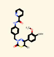 CCC1SC(=O)N(Cc2ccc(NC(=O)c3ccccn3)cc2)N=C1c1ccc(OC)c(OC(F)(F)F)c1